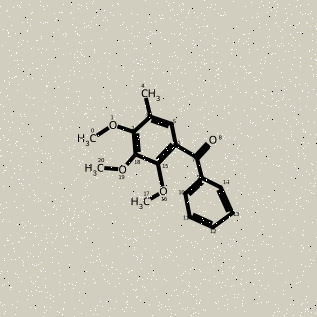 COc1c(C)cc(C(=O)c2ccccc2)c(OC)c1OC